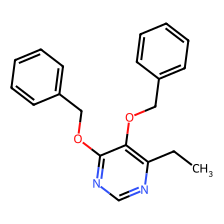 CCc1ncnc(OCc2ccccc2)c1OCc1ccccc1